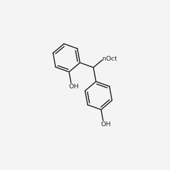 CCCCCCCCC(c1ccc(O)cc1)c1ccccc1O